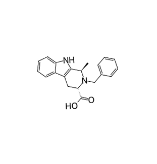 C[C@@H]1c2[nH]c3ccccc3c2C[C@@H](C(=O)O)N1Cc1ccccc1